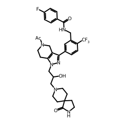 CC(=O)N1CCc2c(c(-c3ccc(C(F)(F)F)c(CNC(=O)c4ccc(F)cc4)c3)nn2CC(O)CN2CCC3(CCNC3=O)CC2)C1